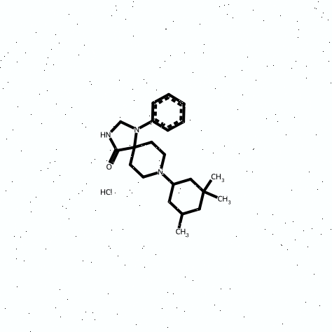 CC1CC(N2CCC3(CC2)C(=O)NCN3c2ccccc2)CC(C)(C)C1.Cl